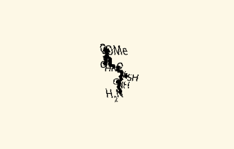 COC(=O)C1CC(=O)N(CCNC(=O)CCN(CCS)CCC(=O)NCCN)C1